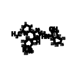 Cc1cccc(-c2nc(CNC3c4ccccc4C[C@@H]3O)[nH]c2-c2ccc3ncnn3c2)n1